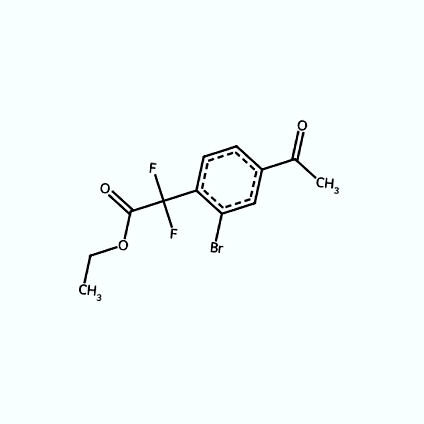 CCOC(=O)C(F)(F)c1ccc(C(C)=O)cc1Br